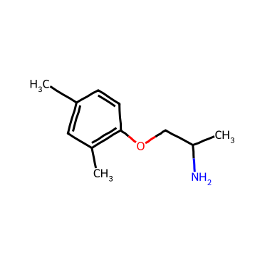 Cc1ccc(OCC(C)N)c(C)c1